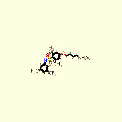 CC(=O)NCCCCOc1cc(C)c(S(=O)(=O)Nc2cc(C(F)(F)F)cc(C(F)(F)F)c2)c(C)c1